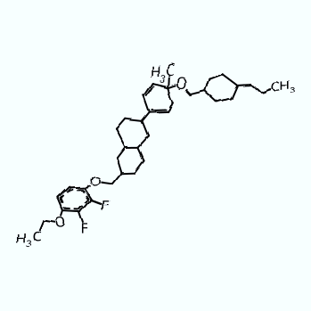 CCCC1CCC(COC2(C)C=CC(C3CCC4CC(COc5ccc(OCC)c(F)c5F)CCC4C3)=CC2)CC1